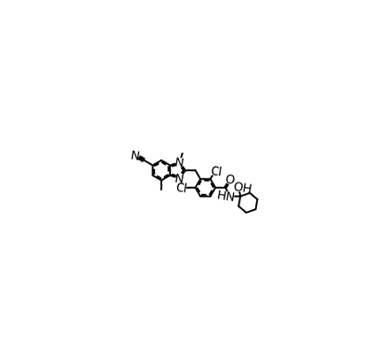 Cc1cc(C#N)cc2c1nc(Cc1c(Cl)ccc(C(=O)NC3(O)CCCCC3)c1Cl)n2C